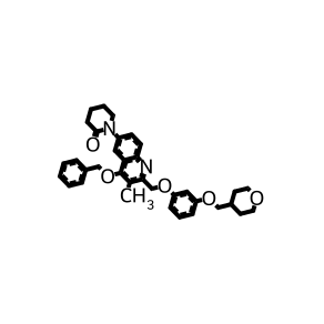 Cc1c(COc2cccc(OCC3CCOCC3)c2)nc2ccc(N3CCCCC3=O)cc2c1OCc1ccccc1